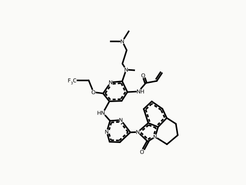 C=CC(=O)Nc1cc(Nc2nccc(-n3c(=O)n4c5c(cccc53)CCC4)n2)c(OCC(F)(F)F)nc1N(C)CCN(C)C